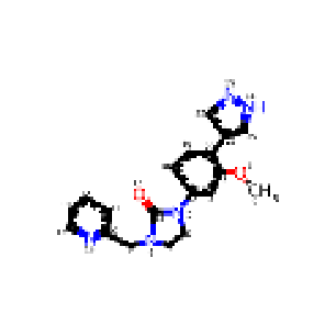 COc1cc(N2CCN(Cc3ccccn3)C2=O)ccc1-c1cn[nH]c1